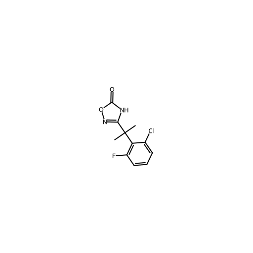 CC(C)(c1noc(=O)[nH]1)c1c(F)cccc1Cl